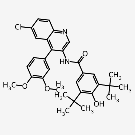 COc1ccc(-c2c(NC(=O)c3cc(C(C)(C)C)c(O)c(C(C)(C)C)c3)cnc3ccc(Cl)cc23)cc1OC